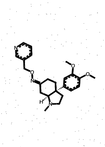 COc1ccc([C@@]23CCC(=NOCc4cccnc4)C[C@@H]2N(C)CC3)cc1OC